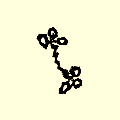 CC1C=CC=CC1[PH](CCCCCCCCC[PH](c1ccccc1)(c1ccccc1)c1ccccc1)(c1ccccc1)c1ccccc1